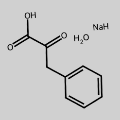 O.O=C(O)C(=O)Cc1ccccc1.[NaH]